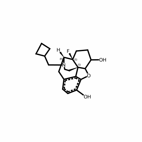 Oc1ccc2c3c1OC1C(O)CC[C@@]4(F)[C@@H](C2)N(CC2CCC2)CC[C@]314